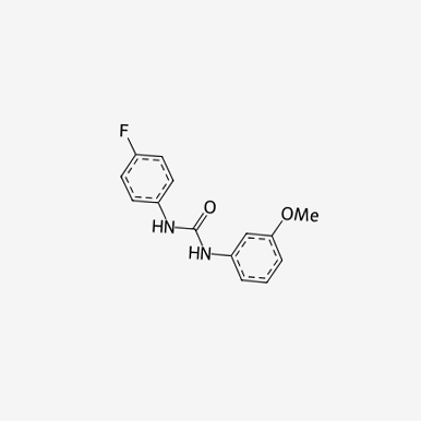 COc1cccc(NC(=O)Nc2ccc(F)cc2)c1